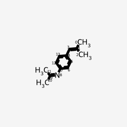 CC(C)=Cc1ccc(N=C(C)C)cc1